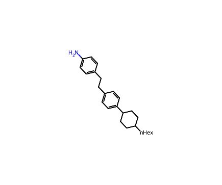 CCCCCCC1CCC(c2ccc(CCc3ccc(N)cc3)cc2)CC1